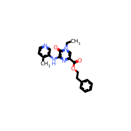 CCn1cc(C(=O)OCCc2ccccc2)nc(Nc2cnccc2C)c1=O